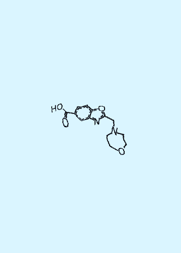 O=C(O)c1ccc2oc(CN3CCOCC3)nc2c1